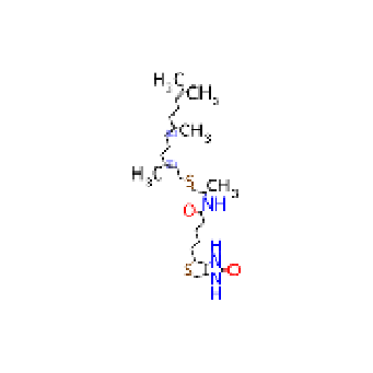 CC(C)=CCC/C(C)=C/CC/C(C)=C/CSCC(C)NC(=O)CCCCC1SCC2NC(=O)NC21